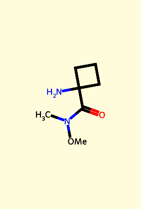 CON(C)C(=O)C1(N)CCC1